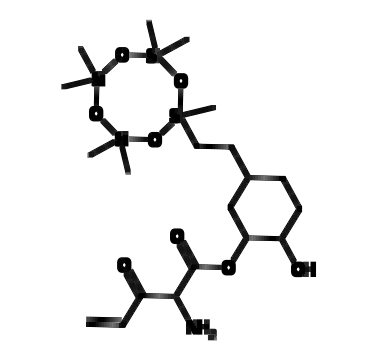 C=CC(=O)C(N)C(=O)OC1CC(CC[Si]2(C)O[Si](C)(C)O[Si](C)(C)O[Si](C)(C)O2)CCC1O